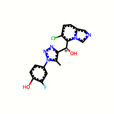 Cc1c([C@H](O)c2c(Cl)ccc3cncn23)nnn1-c1ccc(O)c(F)c1